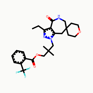 CCc1nn(CC(C)(C)COC(=O)c2ccccc2C(F)(F)F)c2c1C(=O)NCC1(CCOCC1)C2